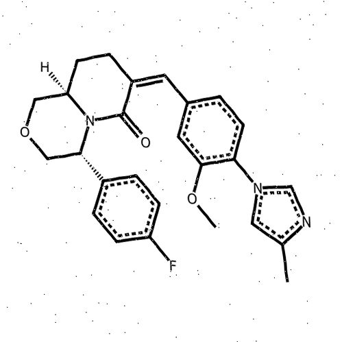 COc1cc(C=C2CC[C@@H]3COC[C@@H](c4ccc(F)cc4)N3C2=O)ccc1-n1cnc(C)c1